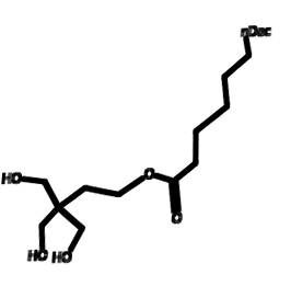 CCCCCCCCCCCCCCCC(=O)OCCC(CO)(CO)CO